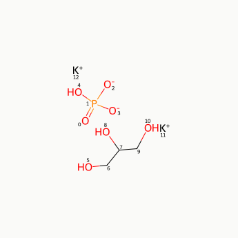 O=P([O-])([O-])O.OCC(O)CO.[K+].[K+]